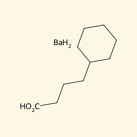 O=C(O)CCCC1CCCCC1.[BaH2]